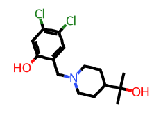 CC(C)(O)C1CCN(Cc2cc(Cl)c(Cl)cc2O)CC1